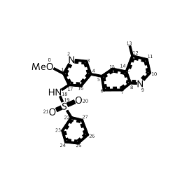 COc1ncc(-c2ccc3nccc(C)c3c2)cc1NS(=O)(=O)c1ccccc1